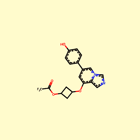 O=C(OC1CC(Oc2cc(-c3ccc(O)cc3)cn3cncc23)C1)C(F)(F)F